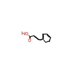 O=C(O)C=CC1=CC=CCC1